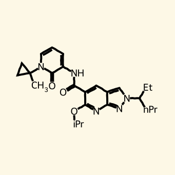 CCCC(CC)n1cc2cc(C(=O)Nc3cccn(C4(C)CC4)c3=O)c(OC(C)C)nc2n1